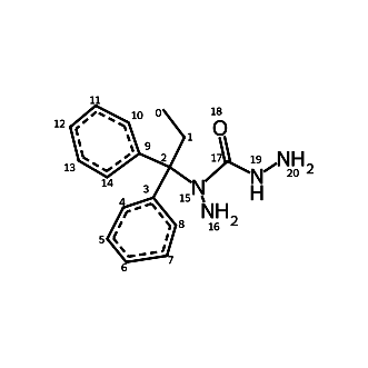 CCC(c1ccccc1)(c1ccccc1)N(N)C(=O)NN